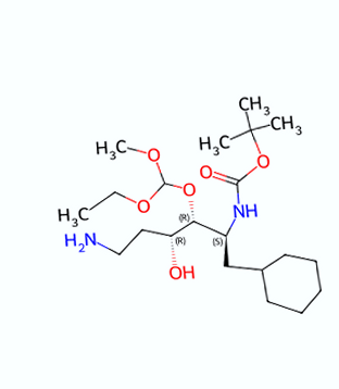 CCOC(OC)O[C@@H]([C@H](O)CCN)[C@H](CC1CCCCC1)NC(=O)OC(C)(C)C